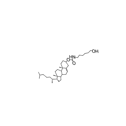 CC(C)CCC[C@H](C)[C@@H]1CCC2C3CC=C4C[C@H](OC(=O)NCCCCCCO)CC[C@@]4(C)C3CC[C@]21C